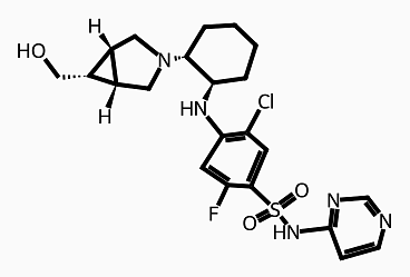 O=S(=O)(Nc1ccncn1)c1cc(Cl)c(N[C@@H]2CCCC[C@H]2N2C[C@@H]3[C@H](CO)[C@@H]3C2)cc1F